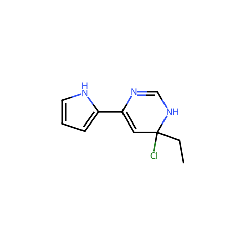 CCC1(Cl)C=C(c2ccc[nH]2)N=CN1